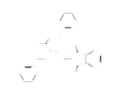 O=C(O)[C@@H](OCc1ccccc1)[C@@H](CN1C(=O)c2ccccc2C1=O)OCc1ccccc1